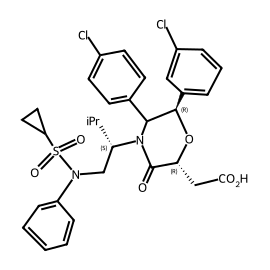 CC(C)[C@@H](CN(c1ccccc1)S(=O)(=O)C1CC1)N1C(=O)[C@@H](CC(=O)O)O[C@H](c2cccc(Cl)c2)C1c1ccc(Cl)cc1